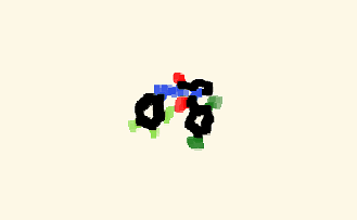 O=C(NNc1ccc(F)c(F)c1F)C1CCCN1C(=O)c1cc(Cl)ccc1Cl